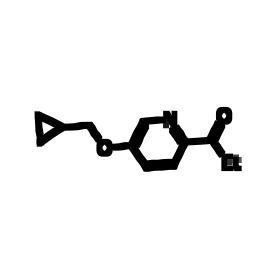 CCC(=O)c1ccc(OCC2CC2)cn1